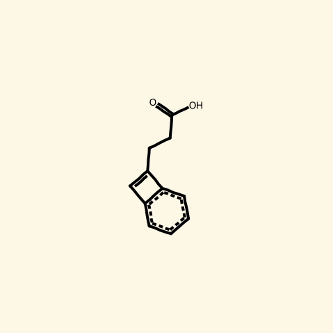 O=C(O)CCC1=Cc2ccccc21